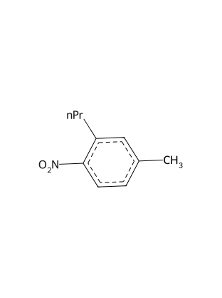 [CH2]CCc1cc(C)ccc1[N+](=O)[O-]